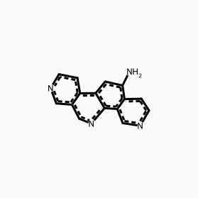 Nc1cc2c3ccncc3cnc2c2cnccc12